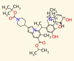 Cc1c(C(=O)OC(C)C)cc2cc(C3CCN(C(=O)OC(C)(C)C)CC3)cn2c1C(C)c1cc(O)c2c3c1C[C@@H]1[C@@H]4C=C[C@H](O)[C@H](O2)[C@]34CCN1C